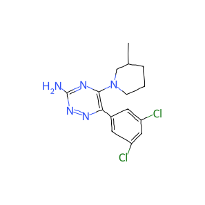 CC1CCCN(c2nc(N)nnc2-c2cc(Cl)cc(Cl)c2)C1